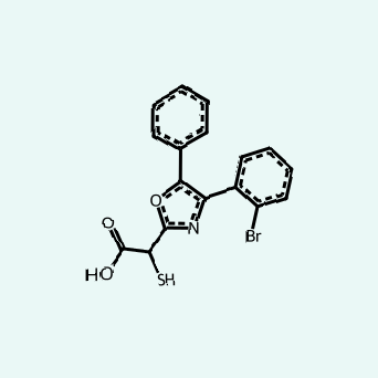 O=C(O)C(S)c1nc(-c2ccccc2Br)c(-c2ccccc2)o1